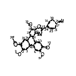 COc1cc2c3cc(OC)c(OC)cc3c3c(cc(OC)c4oc(-c5ccc(C#N)cc5)nc43)c2cc1OC